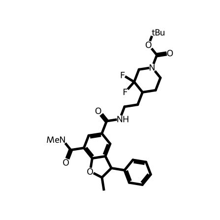 CNC(=O)c1cc(C(=O)NCCC2CCN(C(=O)OC(C)(C)C)CC2(F)F)cc2c1OC(C)C2c1ccccc1